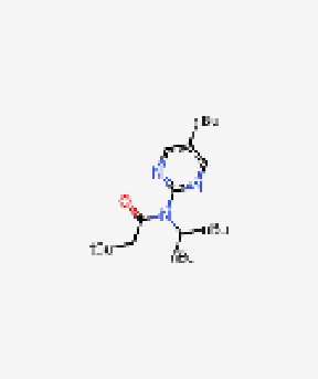 CCCCc1cnc(N(C(=O)CC(C)(C)C)C(CCCC)CCCC)nc1